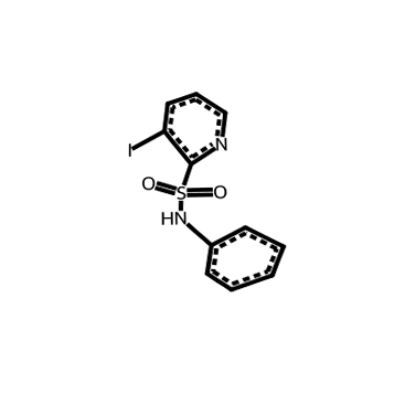 O=S(=O)(Nc1ccccc1)c1ncccc1I